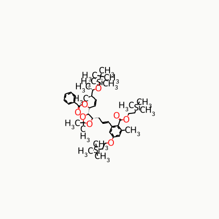 Cc1cc(OCC[Si](C)(C)C)cc(/C=C/C[C@@H]2OC(C)(C)O[C@@H]2C(/C=C\[C@@H](C)[C@H](C)O[Si](C)(C)C(C)(C)C)OC(=O)c2ccccc2)c1C(=O)OCC[Si](C)(C)C